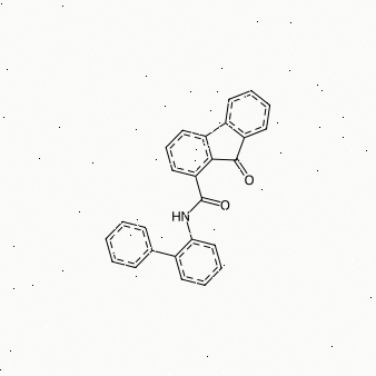 O=C(Nc1ccccc1-c1ccccc1)c1cccc2c1C(=O)c1ccccc1-2